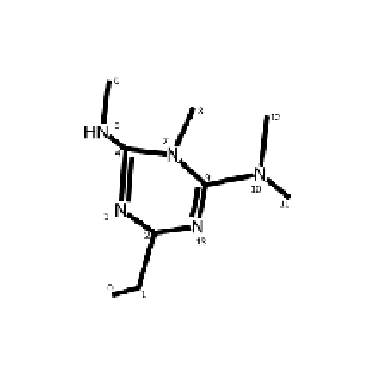 CCC1N=C(NC)N(C)C(N(C)C)=N1